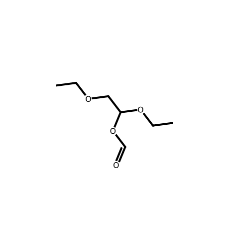 CCOCC(OC=O)OCC